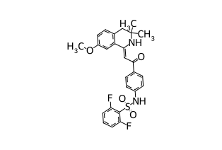 COc1ccc2c(c1)C(=CC(=O)c1ccc(NS(=O)(=O)c3c(F)cccc3F)cc1)NC(C)(C)C2